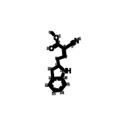 COC(=O)C(C#N)=CCC1Cc2ccccc2N1